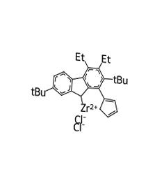 CCc1c(CC)c(C(C)(C)C)c(C2=CC=CC2)c2c1-c1ccc(C(C)(C)C)cc1[CH]2[Zr+2].[Cl-].[Cl-]